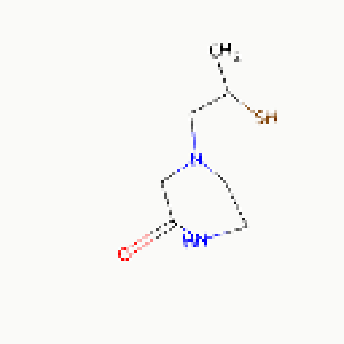 CC(S)CN1CCNC(=O)C1